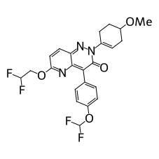 COC1CC=C(n2nc3ccc(OCC(F)F)nc3c(-c3ccc(OC(F)F)cc3)c2=O)CC1